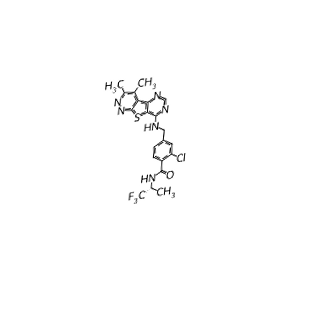 Cc1nnc2sc3c(NCc4ccc(C(=O)N[C@H](C)C(F)(F)F)c(Cl)c4)ncnc3c2c1C